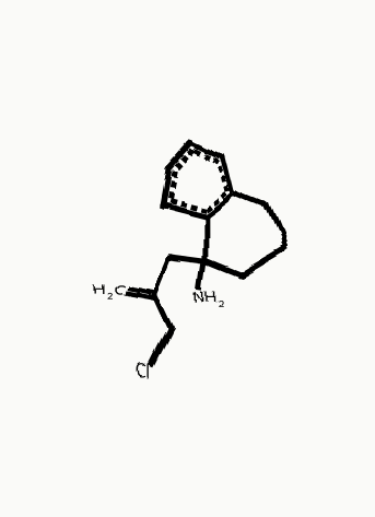 C=C(CCl)CC1(N)CCCc2ccccc21